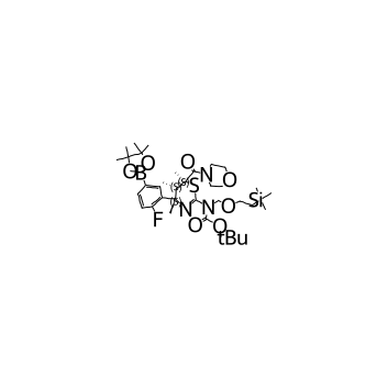 C[C@@H]1[C@@](C)(C(=O)N2CCOCC2)SC(N(COCC[Si](C)(C)C)C(=O)OC(C)(C)C)=N[C@]1(C)c1cc(B2OC(C)(C)C(C)(C)O2)ccc1F